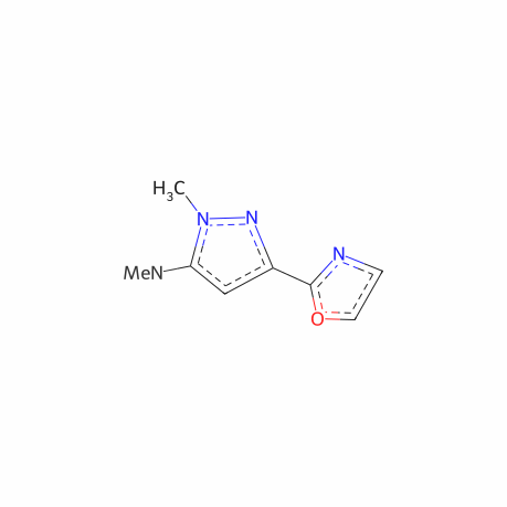 CNc1cc(-c2ncco2)nn1C